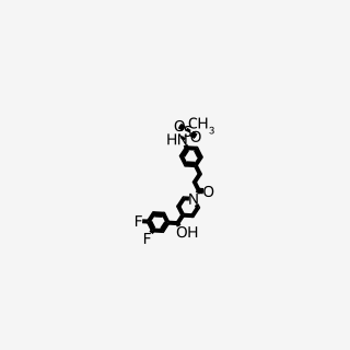 CS(=O)(=O)Nc1ccc(CCC(=O)N2CCC(C(O)c3ccc(F)c(F)c3)CC2)cc1